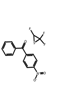 FC1SC1(F)F.O=C(c1ccccc1)c1ccc([N+](=O)[O-])cc1